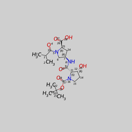 CC(C)C(=O)N1C[C@H](NC(=O)[C@@H]2[C@H](O)CCN2C(=O)OC(C)(C)C)C[C@@H]1C(=O)O